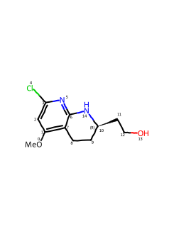 COc1cc(Cl)nc2c1CC[C@H](CCO)N2